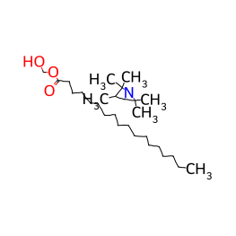 CC1C2N(C1(C)C)C2(C)C.CCCCCCCCCCCCCCCCCC(=O)OCO